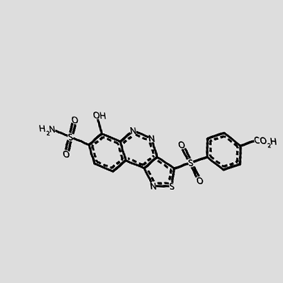 NS(=O)(=O)c1ccc2c(nnc3c(S(=O)(=O)c4ccc(C(=O)O)cc4)snc32)c1O